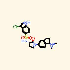 CN(C)C1CCc2cc(N3CC[C@H](NS(=O)(=O)c4ccc5[nH]cc(Cl)c5c4)C3=O)ccc21